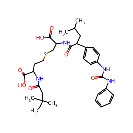 CC(C)CC(C(=O)NC(CSCCC(NC(=O)CC(C)(C)C)C(=O)O)C(=O)O)c1ccc(NC(=O)Nc2ccccc2)cc1